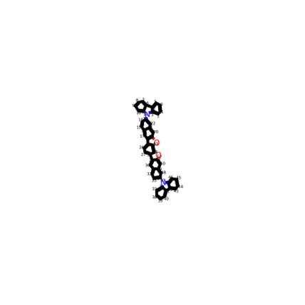 c1ccc2c(c1)c1ccccc1n2-c1ccc2cc3c(cc2c1)oc1c3ccc2c3cc4ccc(-n5c6ccccc6c6ccccc65)cc4cc3oc21